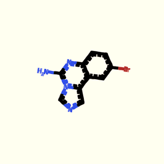 Nc1nc2ccc(Br)cc2c2cncn12